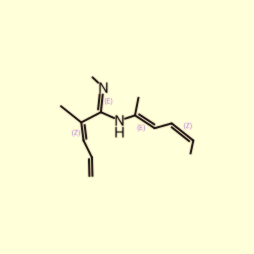 C=C/C=C(C)\C(=N/C)N/C(C)=C/C=C\C